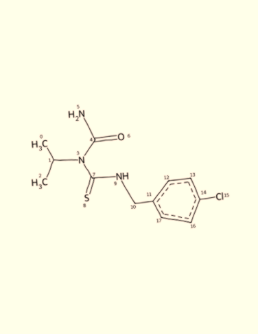 CC(C)N(C(N)=O)C(=S)NCc1ccc(Cl)cc1